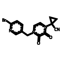 N#CC1(n2ccn(Cc3ccc(Br)nc3)c(=O)c2=O)CC1